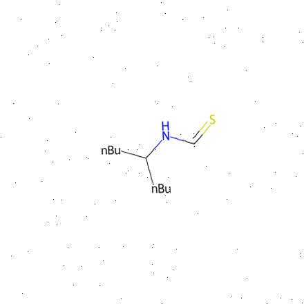 CCCCC(CCCC)N[C]=S